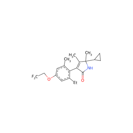 CCc1cc(OCC(F)(F)F)cc(C)c1C1=C(C)C(C)(C2CC2)NC1=O